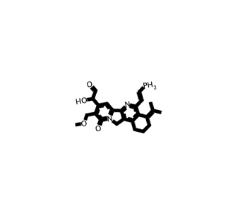 COCc1c(C(O)C=O)cc2n(c1=O)Cc1c-2nc(/C=C/P)c2c1CCCC2=C(C)C